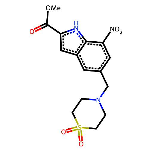 COC(=O)c1cc2cc(CN3CCS(=O)(=O)CC3)cc([N+](=O)[O-])c2[nH]1